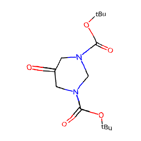 CC(C)(C)OC(=O)N1CC(=O)CN(C(=O)OC(C)(C)C)C1